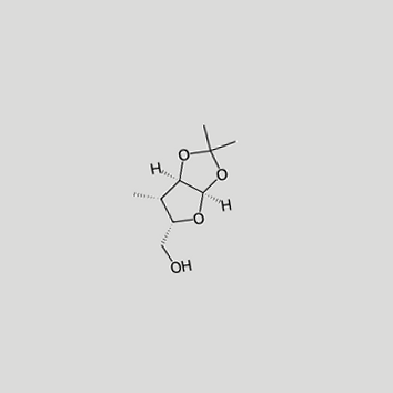 C[C@@H]1[C@H]2OC(C)(C)O[C@H]2O[C@@H]1CO